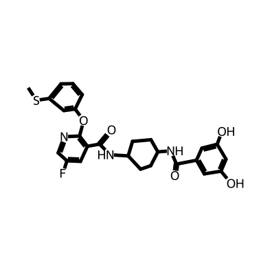 CSc1cccc(Oc2ncc(F)cc2C(=O)NC2CCC(NC(=O)c3cc(O)cc(O)c3)CC2)c1